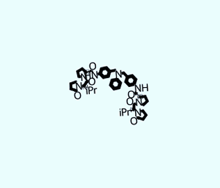 CC(C)[C@@H](C(=O)N1CCC[C@H]1C(=O)Nc1ccc(CN(Cc2ccc(NC(=O)[C@@H]3CCCN3C(=O)[C@H](C(C)C)N3CCCC3=O)cc2)c2ccccc2)cc1)N1CCCC1=O